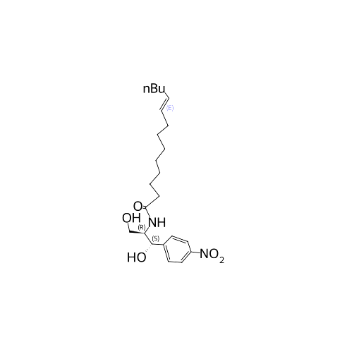 CCCC/C=C/CCCCCCCC(=O)N[C@H](CO)[C@@H](O)c1ccc([N+](=O)[O-])cc1